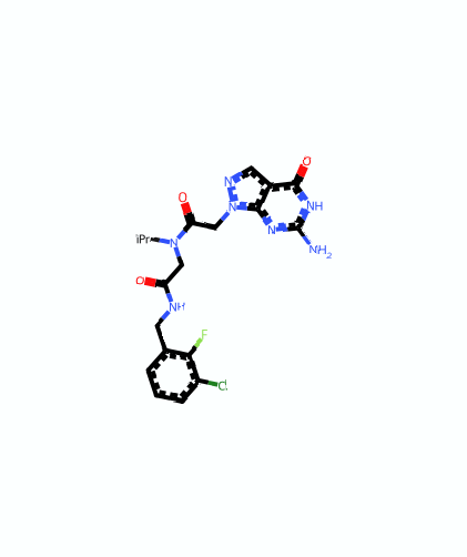 CC(C)N(CC(=O)NCc1cccc(Cl)c1F)C(=O)Cn1ncc2c(=O)[nH]c(N)nc21